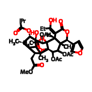 CC/C(O)=C1/C(=O)O[C@@H](c2ccoc2)[C@]2(C)C(OC(C)=O)C(OC(C)=O)[C@@]34O[C@@]5(C)O[C@]3([C@H]12)[C@H](OC(C)=O)[C@@]1(O)[C@@H](OC(=O)C(C)C)[C@]2(C)C[C@@]1(O5)[C@@]4(C)[C@H]2CC(=O)OC